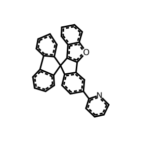 c1ccc(-c2ccc3c(c2)-c2oc4ccccc4c2C32c3ccccc3-c3ccccc32)nc1